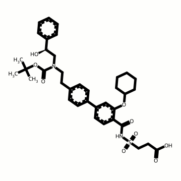 CC(C)(C)OC(=O)N(CCc1ccc(-c2ccc(C(=O)NS(=O)(=O)CCC(=O)O)c(OC3CCCCC3)c2)cc1)C[C@@H](O)c1ccccc1